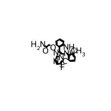 Cc1cccc(C)c1Nc1c(-c2c(N)cccc2OCC(N)=O)nc2ccc(F)cn12